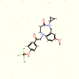 COc1ccc2c(c1)CN(C1CC1)C(=O)CCN2CC(=O)c1ccc(OC(F)(F)F)cc1